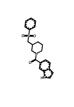 O=C(c1ccc2cc[nH]c2c1)N1CCCC(CS(=O)(=O)c2ccccc2)C1